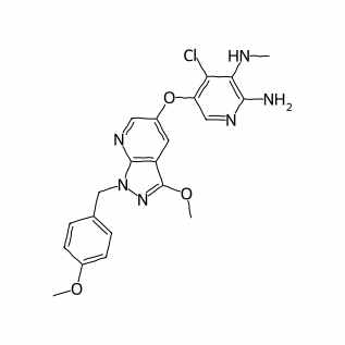 CNc1c(N)ncc(Oc2cnc3c(c2)c(OC)nn3Cc2ccc(OC)cc2)c1Cl